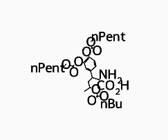 CCCCCOC(=O)Oc1ccc(C(CC(C)OC(=O)OCCCC)[C@H](N)C(=O)O)cc1OC(=O)OCCCCC